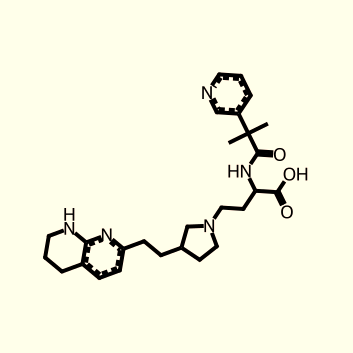 CC(C)(C(=O)NC(CCN1CCC(CCc2ccc3c(n2)NCCC3)C1)C(=O)O)c1cccnc1